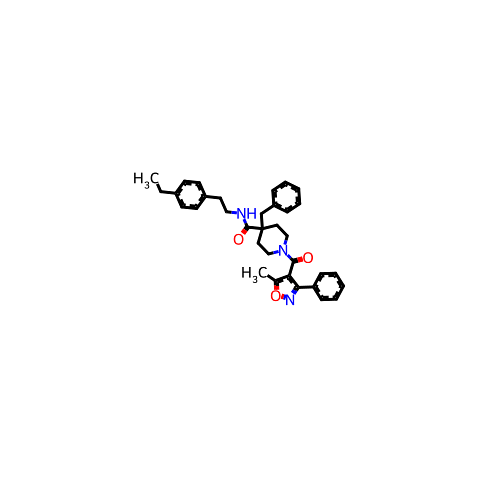 CCc1ccc(CCNC(=O)C2(Cc3ccccc3)CCN(C(=O)c3c(-c4ccccc4)noc3C)CC2)cc1